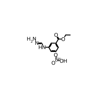 CCOC(=O)c1cccc(NC=NN)c1.O=[N+]([O-])O